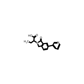 CCC(C(=O)O)N1Cc2ccc(-c3cccnc3)cc2C1=O